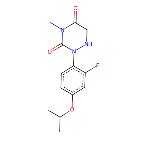 CC(C)Oc1ccc(N2NCC(=O)N(C)C2=O)c(F)c1